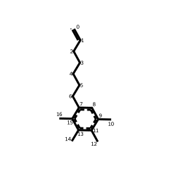 [CH]=CCCCCCc1cc(C)c(C)c(C)c1C